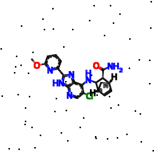 COc1cccc(-c2nc3c(NC4C(C(N)=O)[C@@H]5C=C[C@H]4C5)c(Cl)cnc3[nH]2)n1